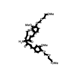 COCCOCOc1ccc(C=CC(=O)C(N)(CCCN)C(=O)C=Cc2ccc(OCOCCOC)c(OC)c2)cc1OC